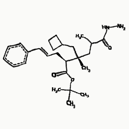 CC(C[C@@](C)(CC1CCC1)[C@H](C/C=C/c1ccccc1)C(=O)OC(C)(C)C)C(=O)NN